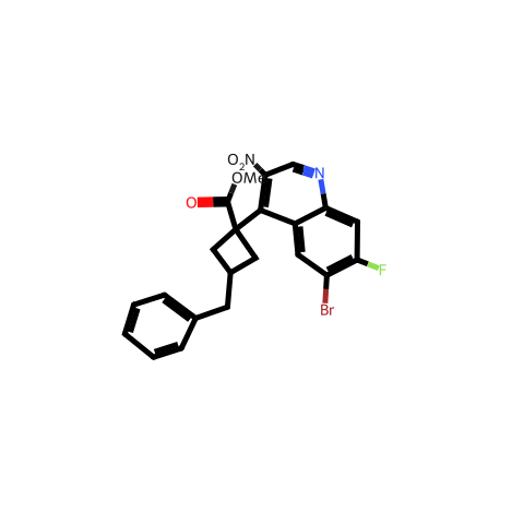 COC(=O)C1(c2c([N+](=O)[O-])cnc3cc(F)c(Br)cc23)CC(Cc2ccccc2)C1